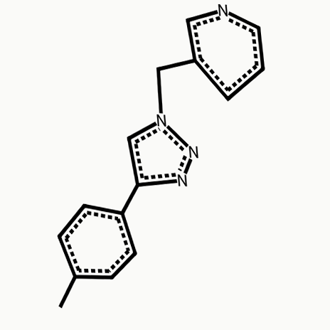 Cc1ccc(-c2cn(Cc3cccnc3)nn2)cc1